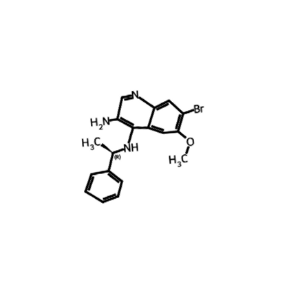 COc1cc2c(N[C@H](C)c3ccccc3)c(N)cnc2cc1Br